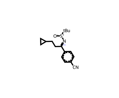 CC(C)(C)[S+]([O-])/N=C(\CCC1CC1)c1ccc(C#N)cc1